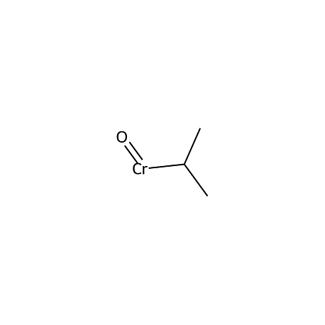 C[CH](C)[Cr]=[O]